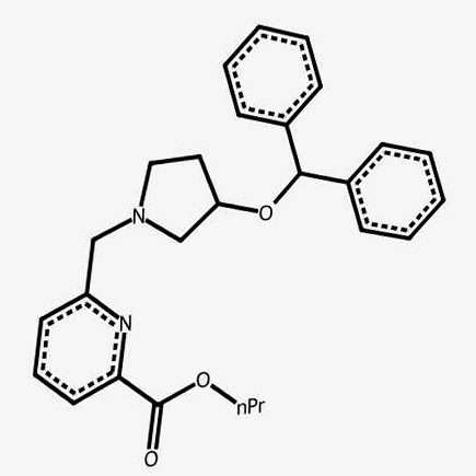 CCCOC(=O)c1cccc(CN2CCC(OC(c3ccccc3)c3ccccc3)C2)n1